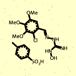 COc1cc(C=NNC(=N)NO)c(Cl)c(OC)c1OC.Cc1ccc(S(=O)(=O)O)cc1